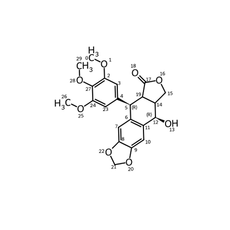 COc1cc([C@@H]2c3cc4c(cc3[C@H](O)C3COC(=O)C32)OCO4)cc(OC)c1OC